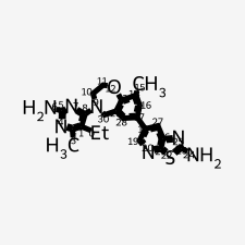 CCc1c(C)nc(N)nc1N1CCOc2c(C)cc(-c3cnc4sc(N)nc4c3)cc2C1